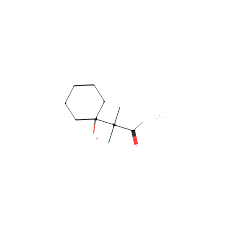 COC(=O)C(C)(C)C1(O)CCCCC1